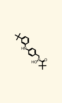 CC(C)(C)C(=O)N(O)Cc1ccc(Nc2cccc(C(C)(C)C)c2)cc1